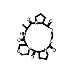 CC1NC(=O)C2COCCN2C(=O)C2CCCN2C(=O)CCOC(=O)C2CCCN2C1=O